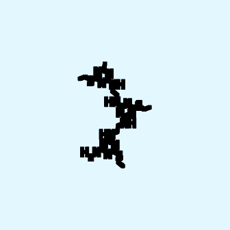 CCSc1nc(C)nc(NCCNc2nc(NCCNc3nc(N)nc(SCC)n3)nc(SCC)n2)n1